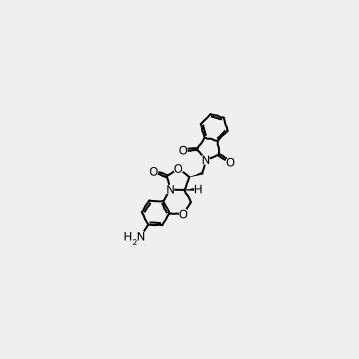 Nc1ccc2c(c1)OC[C@H]1[C@H](CN3C(=O)c4ccccc4C3=O)OC(=O)N21